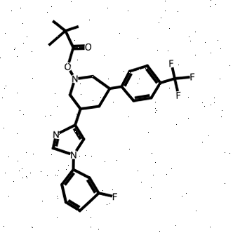 CC(C)(C)C(=O)ON1CC(c2ccc(C(F)(F)F)cc2)CC(c2cn(-c3cccc(F)c3)cn2)C1